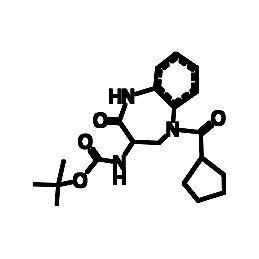 CC(C)(C)OC(=O)NC1CN(C(=O)C2CCCC2)c2ccccc2NC1=O